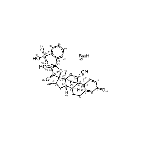 C[C@@H]1C[C@H]2[C@@H]3CCC4=CC(=O)C=C[C@]4(C)[C@@]3(F)[C@@H](O)C[C@]2(C)[C@@]1(OC(=O)c1ccccc1S(=O)(=O)O)C(=O)CO.[NaH]